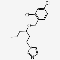 CCCC(CCn1ccnc1)OCc1ccc(Cl)cc1Cl